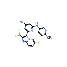 N#Cc1cc(Nc2ccc(C(F)(F)F)nc2)nc(-c2c(C(F)F)nc3ccc(F)cn23)c1